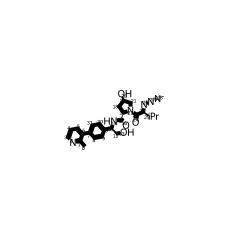 Cc1ncccc1-c1ccc([C@H](CO)NC(=O)[C@@H]2C[C@@H](O)CN2C(=O)[C@@H](N=[N+]=[N-])C(C)C)cc1